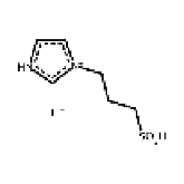 O=S(=O)(O)CCC[n+]1cc[nH]c1.[Cl-]